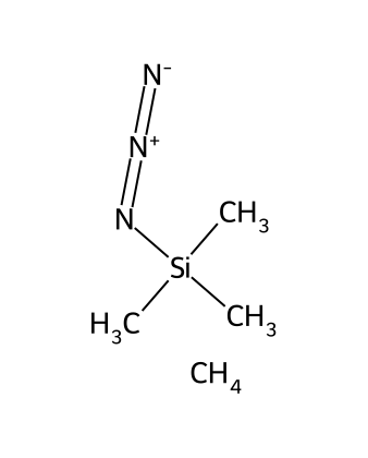 C.C[Si](C)(C)N=[N+]=[N-]